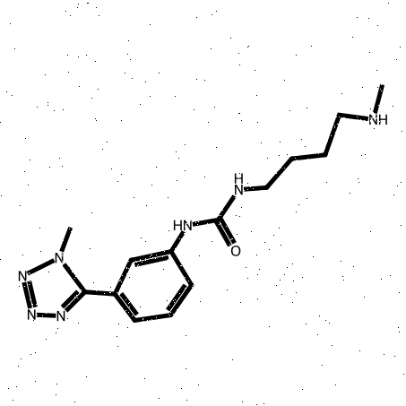 CNCCCCNC(=O)Nc1cccc(-c2nnnn2C)c1